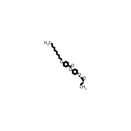 CCCCCCCCCCOc1ccc(C(=O)Oc2ccc(OC[C@@H]3O[C@H]3CCC)cc2)cc1